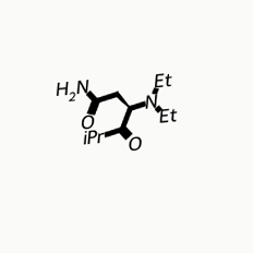 CCN(CC)[C@H](CC(N)=O)C(=O)C(C)C